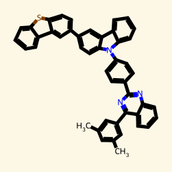 Cc1cc(C)cc(-c2nc(-c3ccc(-n4c5ccccc5c5cc(-c6ccc7sc8ccccc8c7c6)ccc54)cc3)nc3ccccc23)c1